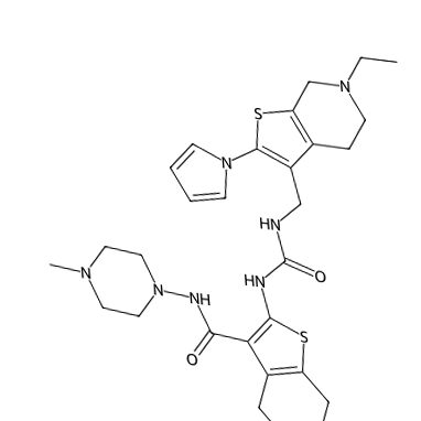 CCN1CCc2c(sc(-n3cccc3)c2CNC(=O)Nc2sc3c(c2C(=O)NN2CCN(C)CC2)CCCC3)C1